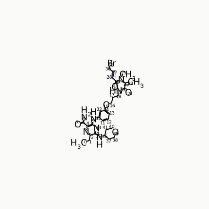 CCc1nc(C(N)=O)c(Nc2cccc(OCCCNC(=O)[C@H](C)N(C)C(=O)/C=C/CBr)c2)nc1NC1CCOCC1